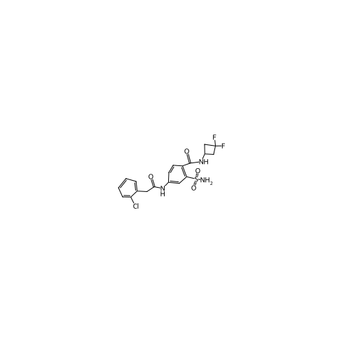 NS(=O)(=O)c1cc(NC(=O)Cc2ccccc2Cl)ccc1C(=O)NC1CC(F)(F)C1